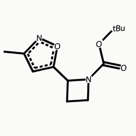 Cc1cc(C2CCN2C(=O)OC(C)(C)C)on1